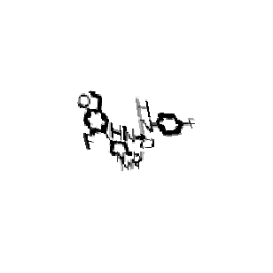 O=C(Nc1ccc(F)cc1)N[C@@H]1c2nnnn2C[C@H]1c1cc2c(cc1F)OCC2